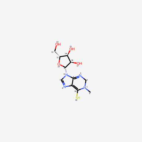 CN1CN=c2c(ncn2[C@@H]2O[C@H](CO)[C@@H](O)[C@H]2O)=C1S